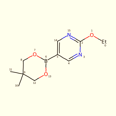 CCOc1ncc(B2OCC(C)(C)CO2)cn1